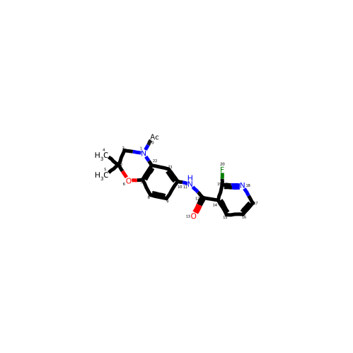 CC(=O)N1CC(C)(C)Oc2ccc(NC(=O)c3cccnc3F)cc21